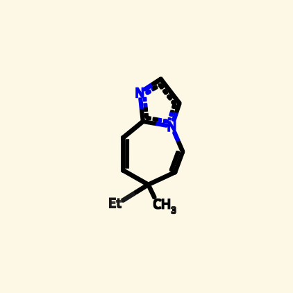 CCC1(C)C=Cc2nccn2C=C1